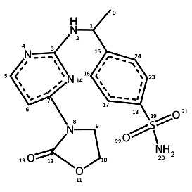 CC(Nc1nccc(N2CCOC2=O)n1)c1ccc(S(N)(=O)=O)cc1